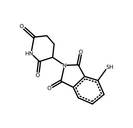 O=C1CCC(N2C(=O)c3cccc(S)c3C2=O)C(=O)N1